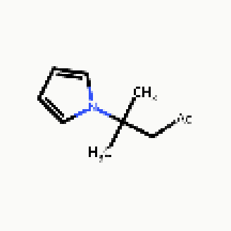 CC(=O)CC(C)(C)n1cccc1